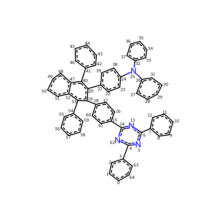 c1ccc(-c2nc(-c3ccccc3)nc(-c3ccc(-c4c(-c5ccc(N(c6ccccc6)c6ccccc6)cc5)c(-c5ccccc5)c5ccccc5c4-c4ccccc4)cc3)n2)cc1